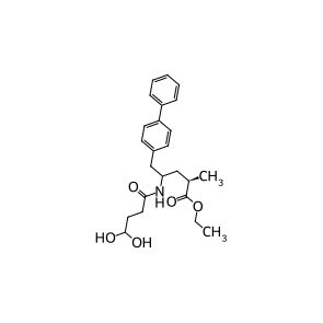 CCOC(=O)[C@H](C)CC(Cc1ccc(-c2ccccc2)cc1)NC(=O)CCC(O)O